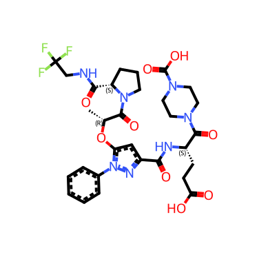 C[C@@H](Oc1cc(C(=O)N[C@@H](CCC(=O)O)C(=O)N2CCN(C(=O)O)CC2)nn1-c1ccccc1)C(=O)N1CCC[C@H]1C(=O)NCC(F)(F)F